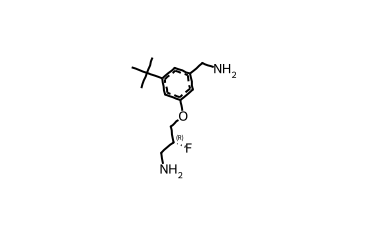 CC(C)(C)c1cc(CN)cc(OC[C@H](F)CN)c1